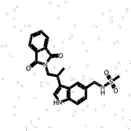 CC(CN1C(=O)c2ccccc2C1=O)c1c[nH]c2ccc(CNS(C)(=O)=O)cc12